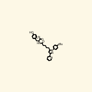 CC(C)(C)c1ccc(-n2nc(-c3ccccn3)cc2CCCCC(=O)NC(Cc2ccc(O)cc2)C(N)=O)cc1